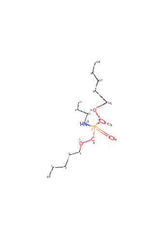 CCCCCOOP(=O)(NCCC)OOCCCCC